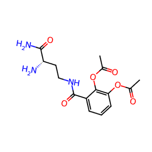 CC(=O)Oc1cccc(C(=O)NCC[C@H](N)C(N)=O)c1OC(C)=O